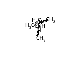 CCCCN=C(NC(=O)N(C)CCCC)SCC